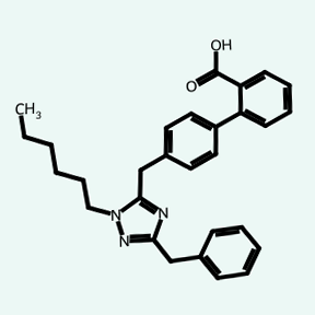 CCCCCCn1nc(Cc2ccccc2)nc1Cc1ccc(-c2ccccc2C(=O)O)cc1